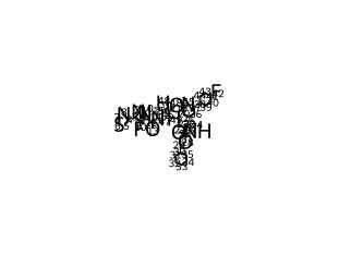 Cn1nc(-c2cscn2)c(F)c1C(=O)N1C[C@@H]2C(Oc3cc(C(C)(C)NC(=O)OCc4ccccc4)cc(-c4ccc(F)cc4)n3)[C@@H]2C1